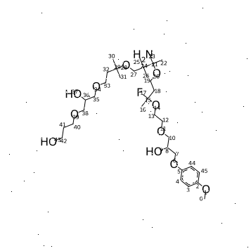 COc1ccc(OCC(O)COCCOC(C)(F)CCOC(C)(N)C(C)(C)COC(C)(C)CCOCC(O)COCCCO)cc1